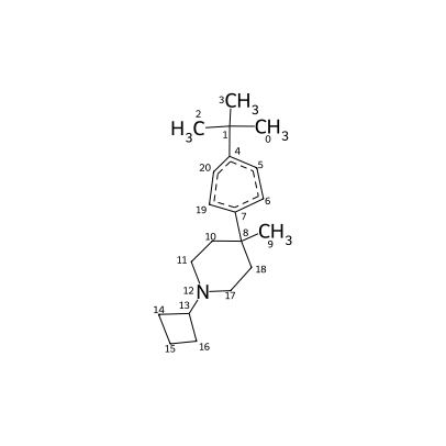 CC(C)(C)c1ccc(C2(C)CCN(C3CCC3)CC2)cc1